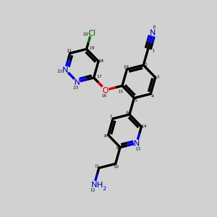 N#Cc1ccc(-c2ccc(CCN)nc2)c(Oc2cc(Cl)cnn2)c1